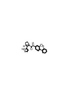 O=C(Nc1ccc(-c2ccccc2F)c(Cl)c1)C1=C(c2ccn[nH]2)[C@@H]2CCC1O2